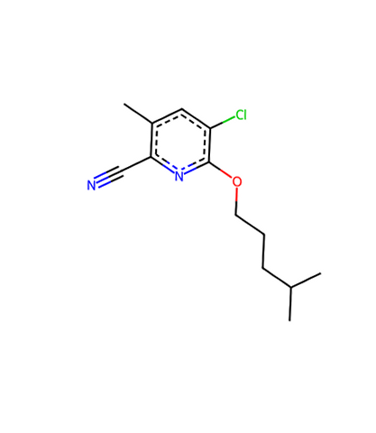 Cc1cc(Cl)c(OCCCC(C)C)nc1C#N